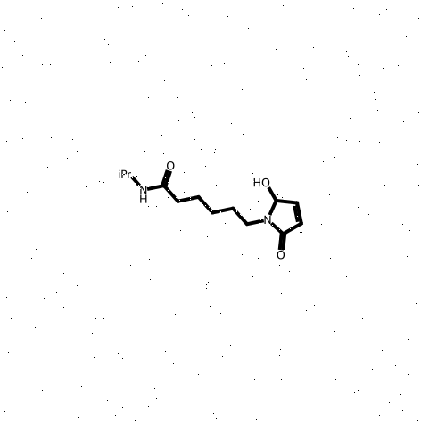 CC(C)NC(=O)CCCCCN1C(=O)C=CC1O